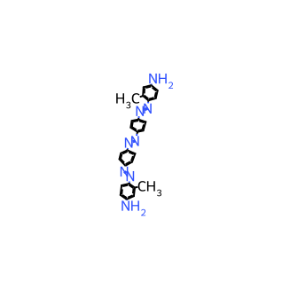 Cc1cc(N)ccc1N=Nc1ccc(N=Nc2ccc(N=Nc3ccc(N)cc3C)cc2)cc1